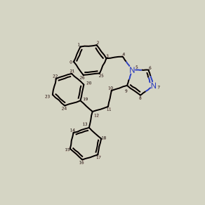 c1ccc(Cn2cncc2CCC(c2ccccc2)c2ccccc2)cc1